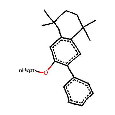 CCCCCCCOc1cc2c(cc1-c1c[c]ccc1)C(C)(C)CCC2(C)C